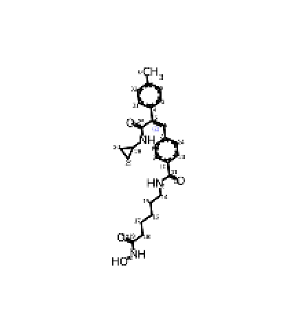 Cc1ccc(/C(=C/c2ccc(C(=O)NCCCCCC(=O)NO)cc2)C(=O)NC2CC2)cc1